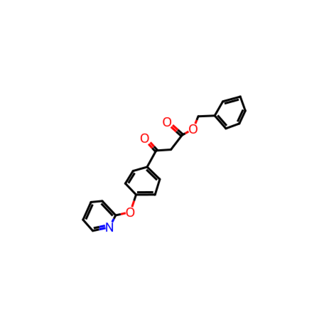 O=C(CC(=O)c1ccc(Oc2ccccn2)cc1)OCc1ccccc1